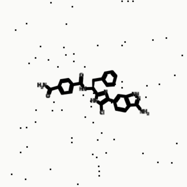 NC(=O)c1ccc(C(=O)N[C@@H](Cc2ccccc2)c2nc(-c3ccc4c(N)n[nH]c4c3)c(Cl)[nH]2)cc1